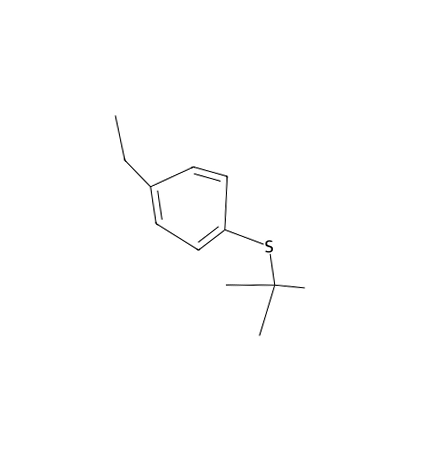 CCc1ccc(SC(C)(C)C)cc1